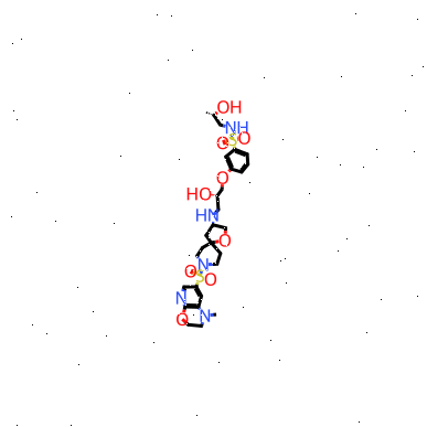 C[C@H](O)CNS(=O)(=O)c1cccc(OC[C@@H](O)CN[C@H]2COC3(CCN(S(=O)(=O)c4cnc5c(c4)N(C)CCO5)CC3)C2)c1